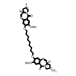 COc1cc2c(cc1OCCCCCCCCCOc1cc3c(cc1OC)C(=O)N1C[C@@H](F)C[C@H]1C=N3)N=C[C@@H]1C[C@H](C)CN1C2=O